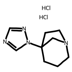 Cl.Cl.c1ncn(C23CCCN(CC2)C3)n1